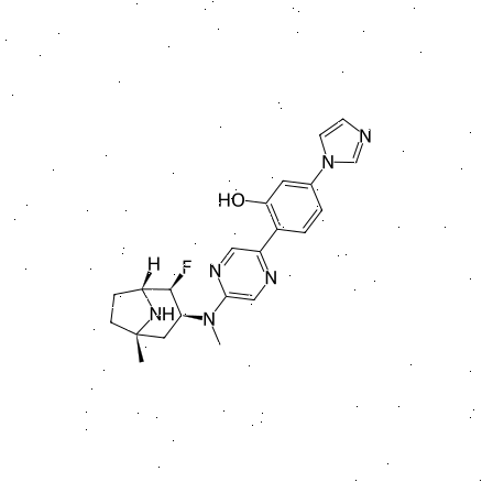 CN(c1cnc(-c2ccc(-n3ccnc3)cc2O)cn1)[C@H]1C[C@]2(C)CC[C@@H](N2)[C@H]1F